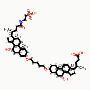 C[C@H](CCC(=O)O)[C@H]1CCC2C3C(CC[C@@]21C)[C@@]1(C)CC[C@@H](OCCCCCO[C@H]2CC[C@@]4(C)C(C2)C[C@H](O)C2C4CC[C@@]4(C)C2CC[C@@H]4[C@H](C)CCC(=O)NCCS(=O)(=O)O)CC1C[C@H]3O